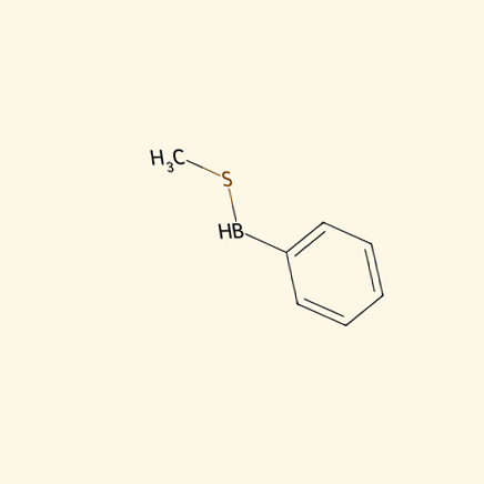 CSBc1ccccc1